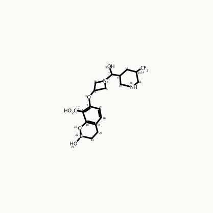 O=C(O)c1c(OC2CN(C(O)C3CNCC(C(F)(F)F)C3)C2)ccc2c1OB(O)CC2